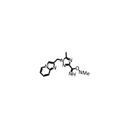 CNOC(=N)c1nc(C)n(Cc2cn3ccccc3n2)n1